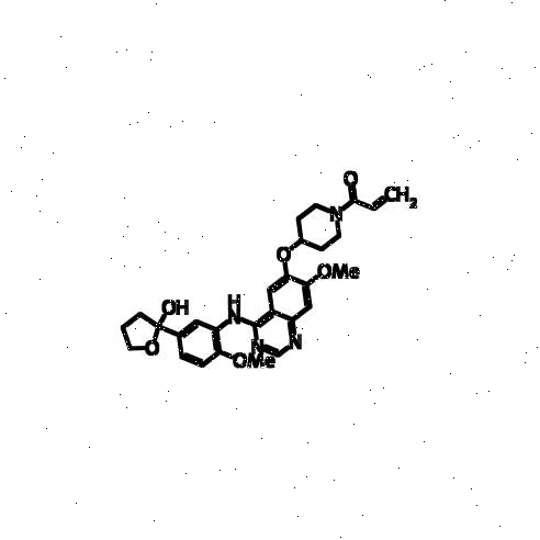 C=CC(=O)N1CCC(Oc2cc3c(Nc4cc(C5(O)CCCO5)ccc4OC)ncnc3cc2OC)CC1